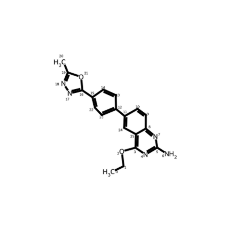 CCOc1nc(N)nc2ccc(-c3ccc(-c4nnc(C)o4)cc3)cc12